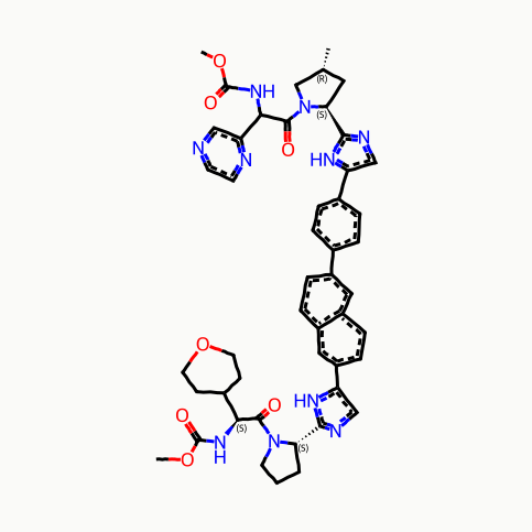 COC(=O)NC(C(=O)N1C[C@H](C)C[C@H]1c1ncc(-c2ccc(-c3ccc4cc(-c5cnc([C@@H]6CCCN6C(=O)[C@@H](NC(=O)OC)C6CCOCC6)[nH]5)ccc4c3)cc2)[nH]1)c1cnccn1